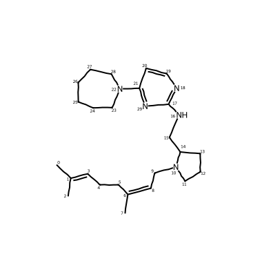 CC(C)=CCCC(C)=CCN1CCCC1CNc1nccc(N2CCCCCC2)n1